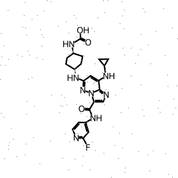 O=C(O)N[C@H]1CC[C@H](Nc2cc(NC3CC3)c3ncc(C(=O)Nc4ccnc(F)c4)n3n2)CC1